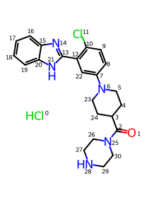 Cl.O=C(C1CCN(c2ccc(Cl)c(-c3nc4ccccc4[nH]3)c2)CC1)N1CCNCC1